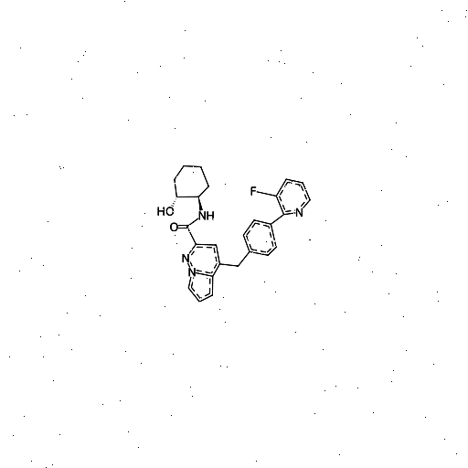 O=C(N[C@@H]1CCCC[C@H]1O)c1cc(Cc2ccc(-c3ncccc3F)cc2)c2cccn2n1